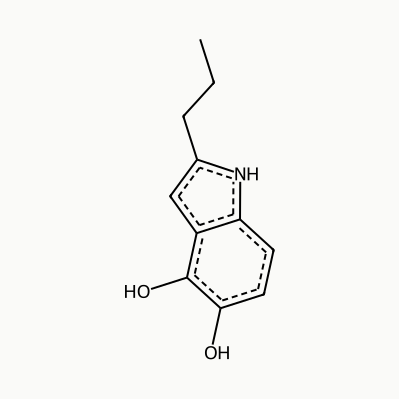 CCCc1cc2c(O)c(O)ccc2[nH]1